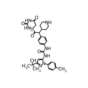 Cc1ccc(-n2nc(C(C)(C)C)cc2NC(=O)Nc2ccc(C(C(=O)[C@@H]3CC(=O)NC(=O)N3)C3CCNCC3)cc2)cc1